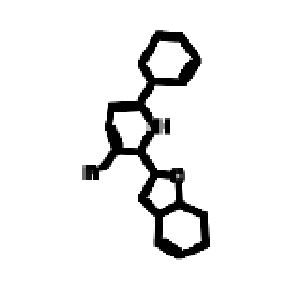 CC(C)C1=CC=C(C2C=CC=CC2)NC1C1CC2C=CCCC2O1